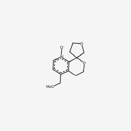 COCc1cc[n+]([O-])c2c1CCOC21CCOC1